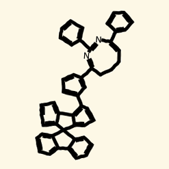 C1=C(c2ccccc2)/N=C(c2ccccc2)\N=C(\c2cccc(-c3cccc4c3-c3ccccc3C43c4ccccc4-c4ccccc43)c2)CCC\1